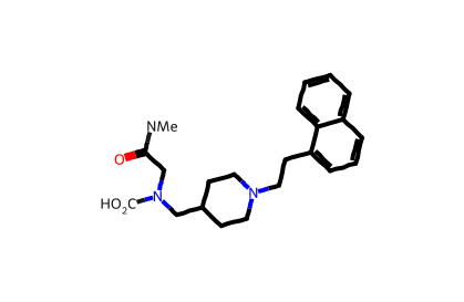 CNC(=O)CN(CC1CCN(CCc2cccc3ccccc23)CC1)C(=O)O